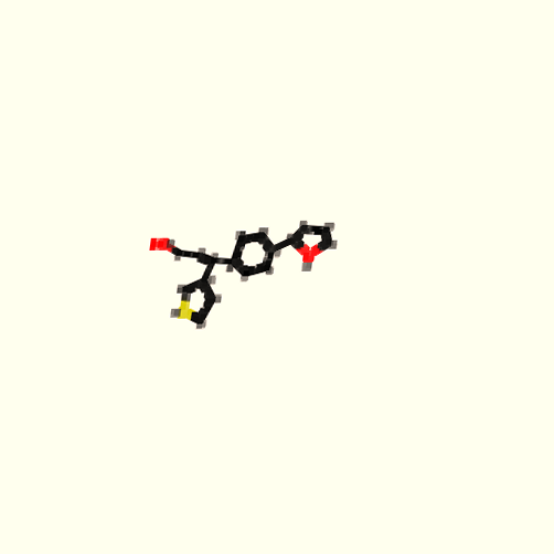 OC/C=C(/c1ccc(-c2ccco2)cc1)c1ccsc1